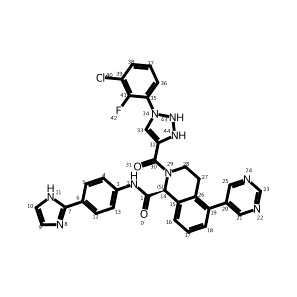 O=C(Nc1ccc(-c2ncc[nH]2)cc1)[C@@H]1c2cccc(-c3cncnc3)c2CCN1C(=O)C1=CN(c2cccc(Cl)c2F)NN1